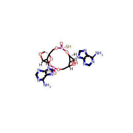 Nc1ncnc2c1ncn2[C@@H]1O[C@@H]2CO[P@@](=O)(S)O[C@H]3[C@H]4OC[C@]3(CO[P@](=O)(S)O[C@@H]1[C@@H]2O)O[C@H]4n1cnc2c(N)ncnc21